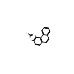 CC(C)c1nc2c(ccc3ccc4ccccc4c32)s1